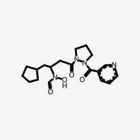 O=CN(O)C(CC(=O)N1CCCN1C(=O)c1cccnc1)CC1CCCC1